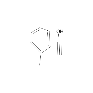 C#CO.Cc1ccccc1